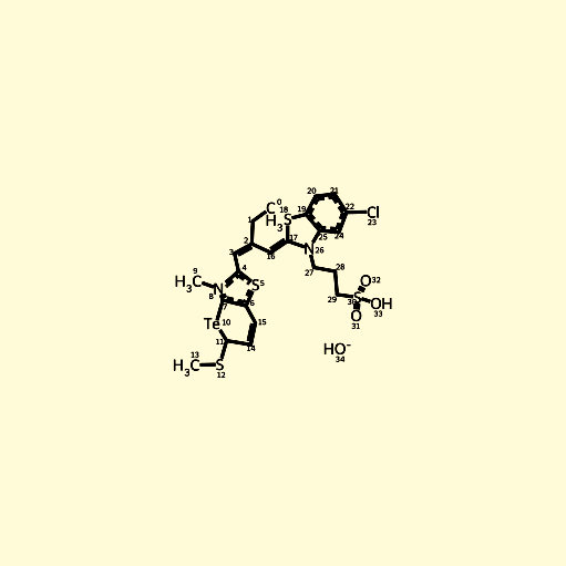 CCC(=Cc1sc2c([n+]1C)[Te]C(SC)C=C2)C=C1Sc2ccc(Cl)cc2N1CCCS(=O)(=O)O.[OH-]